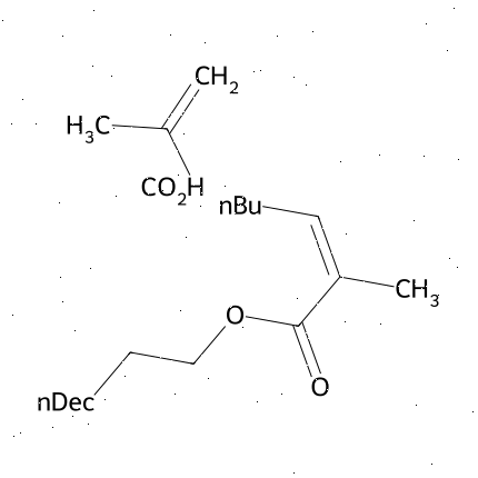 C=C(C)C(=O)O.CCCCC=C(C)C(=O)OCCCCCCCCCCCC